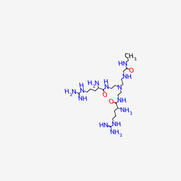 CCNC(=O)CNCCN(CCNC(=O)C(N)CCCNC(=N)N)CCNC(=O)C(N)CCCNC(=N)N